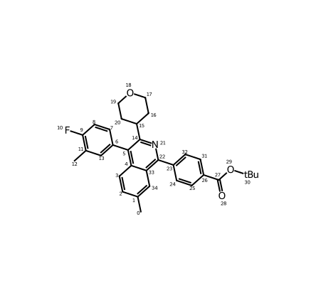 Cc1ccc2c(-c3ccc(F)c(C)c3)c(C3CCOCC3)nc(-c3ccc(C(=O)OC(C)(C)C)cc3)c2c1